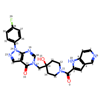 O=C(c1cc2cnccc2[nH]1)N1CCC(O)(Cn2cnc3c(cnn3-c3ccc(F)cc3)c2=O)CC1